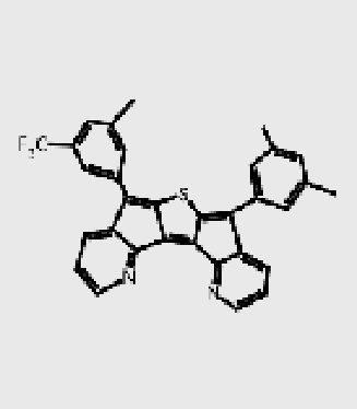 Cc1cc(C)cc(C2=c3sc4c(c3-c3ncccc32)-c2ncccc2C=4c2cc(C)cc(C(F)(F)F)c2)c1